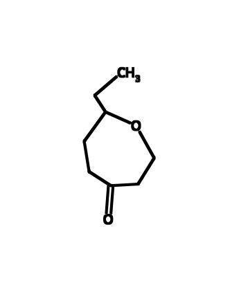 CCC1CCC(=O)CCO1